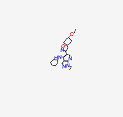 CCOC1CCC2(CC1)CC(c1cnc3c(cnn3CC)c1NC1CCCCC1)=NO2